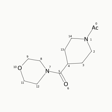 CC(=O)N1CCC(C(=O)N2CCOCC2)CC1